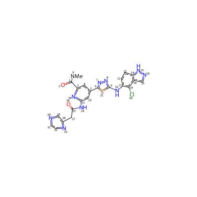 CNC(=O)c1cc(-c2nnc(Nc3ccc4[nH]ncc4c3Cl)s2)cc(NC(=O)Cc2cnccn2)n1